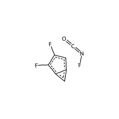 Fc1cc2cc-2c1F.O=C=NF